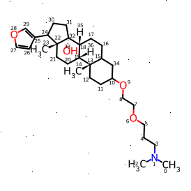 CN(C)CCCOCCOC1CC[C@@]2(C)C(CC[C@@H]3[C@H]2CC[C@]2(C)C(c4ccoc4)CC[C@@]32O)C1